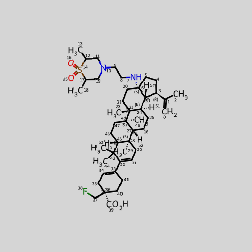 C=C(C)[C@@H]1CC[C@]2(NCCN3CC(C)S(=O)(=O)C(C)C3)CC[C@]3(C)[C@H](CC[C@@H]4[C@@]5(C)CC=C(C6=CC[C@@](CF)(C(=O)O)CC6)C(C)(C)[C@@H]5CC[C@]43C)[C@@H]12